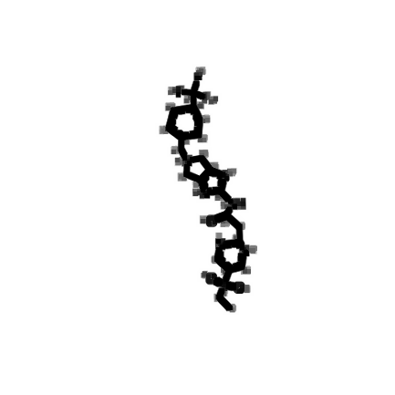 CCS(=O)(=O)c1cnc(CC(=O)Nc2nc3c(s2)CN(Cc2ccc(C(F)(F)F)cc2)C3)nc1